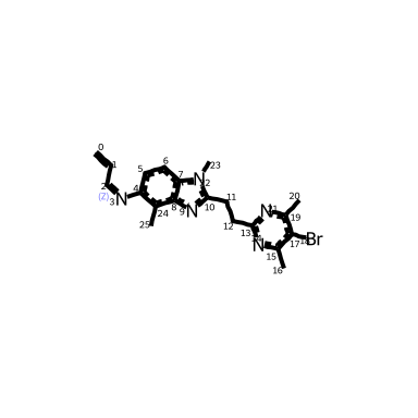 C=C/C=N\c1ccc2c(nc(CCc3nc(C)c(Br)c(C)n3)n2C)c1C